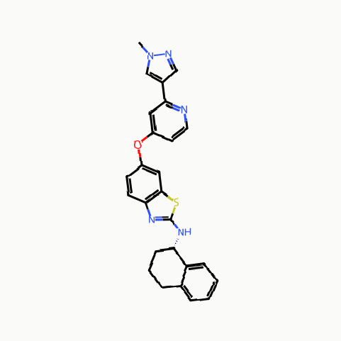 Cn1cc(-c2cc(Oc3ccc4nc(N[C@H]5CCCc6ccccc65)sc4c3)ccn2)cn1